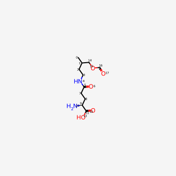 CC(CCNC(=O)CC[C@H](N)C(=O)O)COC=O